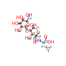 O=C(O)[C@H](CC1CC1)NC[C@]1(O)OC[C@@H](O)[C@@H](O[C@@H]2O[C@H](CO)[C@H](O)[C@H](O)[C@H]2O)[C@@H]1O